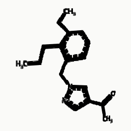 CCCc1c(CC)cccc1Cn1cc(C(C)=O)cn1